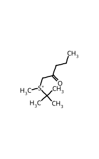 CCCC(=O)C[S+](C)C(C)(C)C